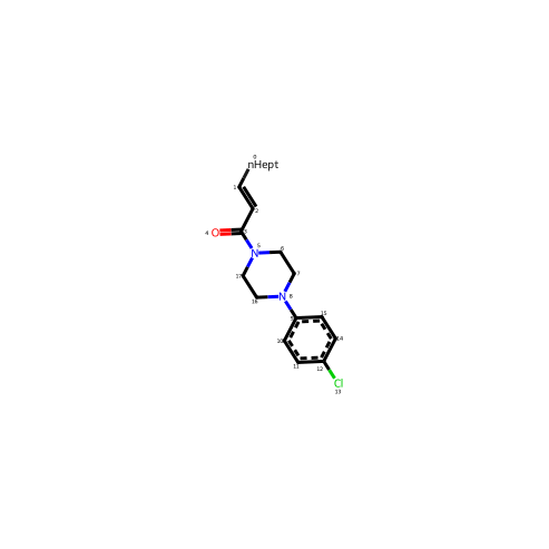 CCCCCCCC=CC(=O)N1CCN(c2ccc(Cl)cc2)CC1